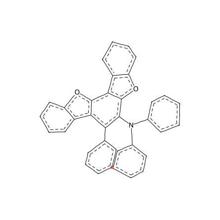 c1ccc(-c2c(N(c3ccccc3)c3ccccc3)c3oc4ccccc4c3c3oc4ccccc4c23)cc1